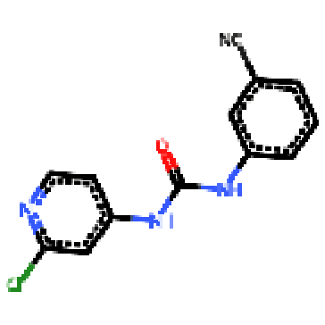 N#Cc1cccc(NC(=O)Nc2ccnc(Cl)c2)c1